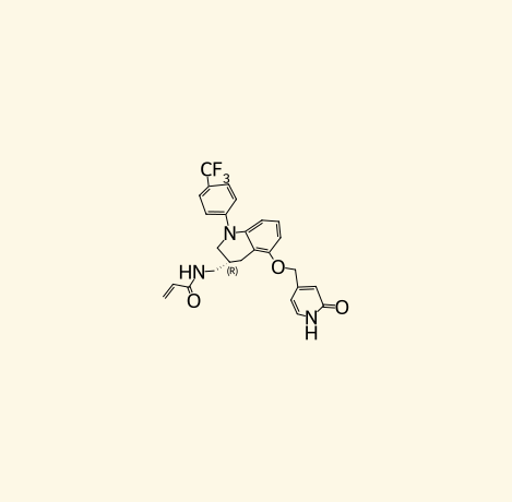 C=CC(=O)NC[C@H]1Cc2c(OCc3cc[nH]c(=O)c3)cccc2N(c2ccc(C(F)(F)F)cc2)C1